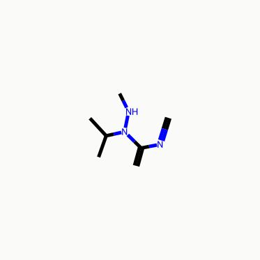 C=NC(=C)N(NC)C(C)C